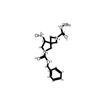 CC(C)(C)OC(=O)N1CC2(CN(C(=O)OCc3ccccc3)CC2C=O)C1